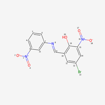 O=[N+]([O-])c1cccc(/N=C/c2cc(Br)cc([N+](=O)[O-])c2O)c1